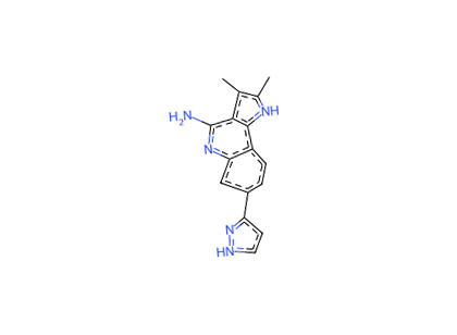 Cc1[nH]c2c(c(N)nc3cc(-c4cc[nH]n4)ccc32)c1C